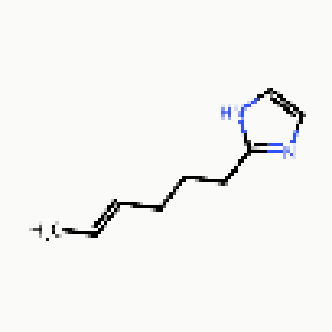 [CH2]C=CCCCc1ncc[nH]1